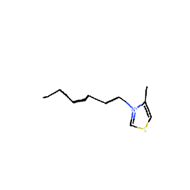 CCCCCC[n+]1cscc1C